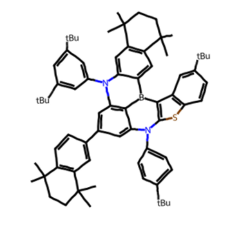 CC(C)(C)c1ccc(N2c3cc(-c4ccc5c(c4)C(C)(C)CCC5(C)C)cc4c3B(c3cc5c(cc3N4c3cc(C(C)(C)C)cc(C(C)(C)C)c3)C(C)(C)CCC5(C)C)c3c2sc2ccc(C(C)(C)C)cc32)cc1